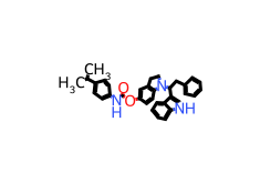 CC(C)c1ccc(NC(=O)Oc2ccc3c(c2)CCN3C(Cc2ccccc2)c2c[nH]c3ccccc23)cc1